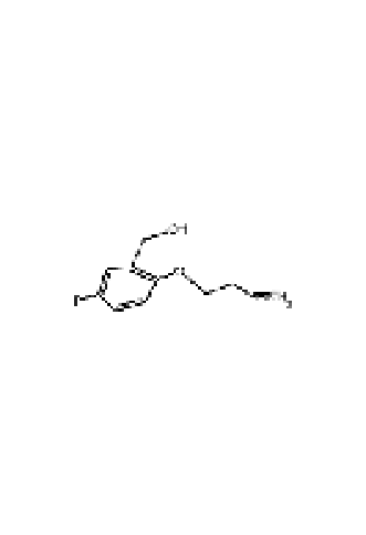 C=CCCOc1ccc(F)cc1CO